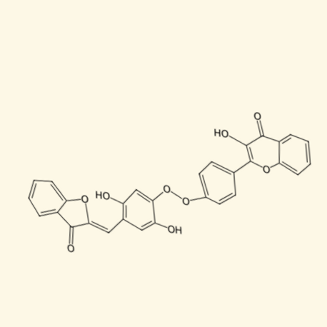 O=C1/C(=C/c2cc(O)c(OOc3ccc(-c4oc5ccccc5c(=O)c4O)cc3)cc2O)Oc2ccccc21